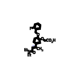 CCN(CC)C(=O)/C=C(\C)c1ccc(OCc2ccccc2F)c(OCC(=O)O)c1